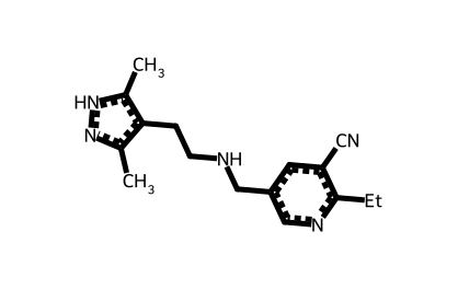 CCc1ncc(CNCCc2c(C)n[nH]c2C)cc1C#N